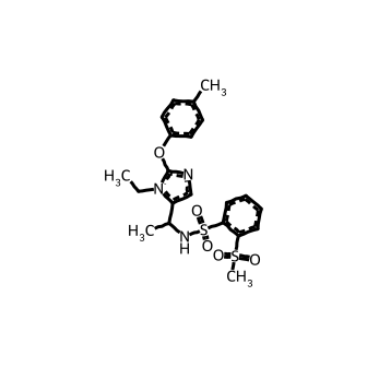 CCn1c(C(C)NS(=O)(=O)c2ccccc2S(C)(=O)=O)cnc1Oc1ccc(C)cc1